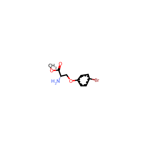 COC(=O)[C@@H](N)COc1ccc(Br)cc1